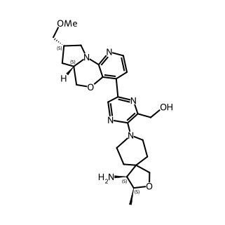 COC[C@H]1C[C@H]2COc3c(-c4cnc(N5CCC6(CC5)CO[C@@H](C)[C@H]6N)c(CO)n4)ccnc3N2C1